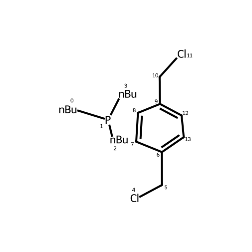 CCCCP(CCCC)CCCC.ClCc1ccc(CCl)cc1